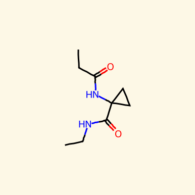 CCNC(=O)C1(NC(=O)CC)CC1